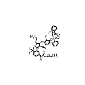 CCCc1nn(-c2cc(NC(=O)COCC)ccc2C(F)(F)F)c(C#N)c1Cc1ccc(-c2ccccc2S(=O)(=O)NC(=O)c2ccccc2F)cc1F